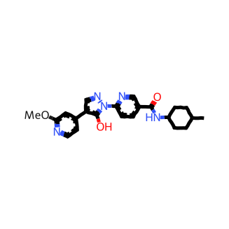 COc1cc(-c2cnn(-c3ccc(C(=O)NC4CCC(C)CC4)cn3)c2O)ccn1